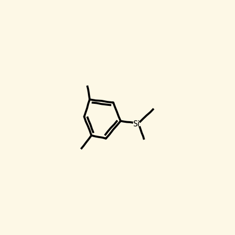 Cc1cc(C)cc([Si](C)C)c1